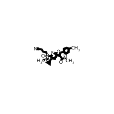 CNC(=O)c1c(-c2ccc(C)cc2)oc2nc(N(CCCC#N)S(C)(=O)=O)c(C3CC3)cc12